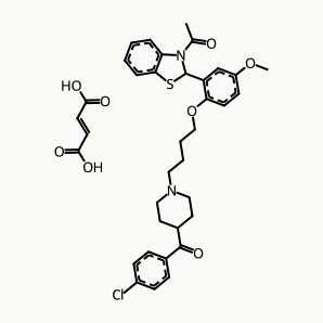 COc1ccc(OCCCCN2CCC(C(=O)c3ccc(Cl)cc3)CC2)c(C2Sc3ccccc3N2C(C)=O)c1.O=C(O)C=CC(=O)O